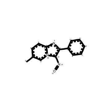 Cc1ccc2nc(-c3ccccc3)c(N=O)n2c1